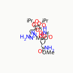 COC(=O)[C@H](C)NP(=O)(OC[C@@]1(C)O[C@@H](c2ccc3c(N)ncnn23)[C@H](OC(=O)C(C)C)[C@@H]1OC(=O)C(C)C)Oc1ccc(C[C@H](N)C(=O)OC)cc1